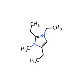 CCc1c[n+](CC)c(CC)n1C